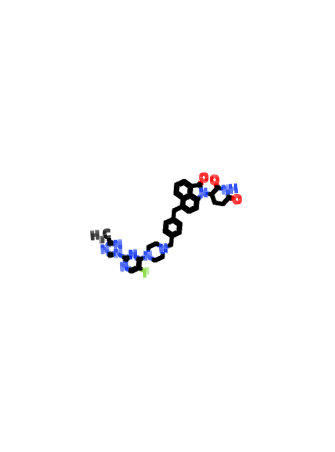 Cc1ncn(-c2ncc(F)c(N3CCN(Cc4ccc(Cc5ccc6c7c(cccc57)C(=O)N6C5CCC(=O)NC5=O)cc4)CC3)n2)n1